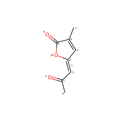 CC(=O)/C=C1/C=C(C)C(=O)O1